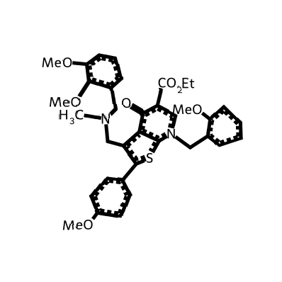 CCOC(=O)c1cn(Cc2ccccc2OC)c2sc(-c3ccc(OC)cc3)c(CN(C)Cc3cccc(OC)c3OC)c2c1=O